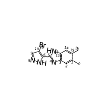 Cc1cc2nc(-c3[nH]ncc3Br)[nH]c2cc1C